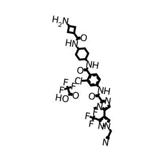 Cn1c(-c2cn(CC#N)nc2C(F)(F)F)cnc1C(=O)Nc1ccc(C(=O)NC2CCC(NC(=O)C3CC(N)C3)CC2)c(Cl)c1.O=C(O)C(F)(F)F